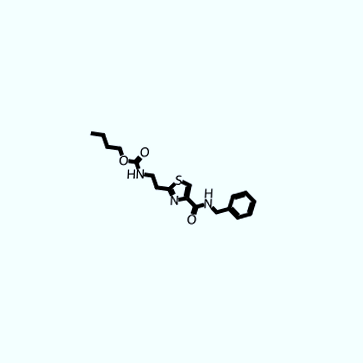 CCCCOC(=O)NCCc1nc(C(=O)NCc2ccccc2)cs1